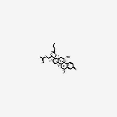 CCOC(=O)O[C@]1(C(=O)COC(C)=O)[C@H](C)C[C@H]2[C@@H]3C[C@H](F)C4=CC(=O)C=C[C@]4(C)[C@@]3(F)[C@@H](O)C[C@@]21C